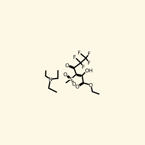 CCN(CC)CC.CCOC(=O)C(O)=C(C(=O)C(F)(F)C(F)(F)F)S(C)(=O)=O